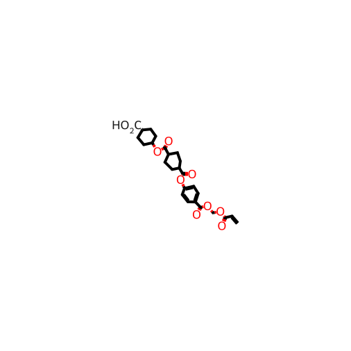 C=CC(=O)OCOC(=O)c1ccc(OC(=O)C2CCC(C(=O)OC3CCC(C(=O)O)CC3)CC2)cc1